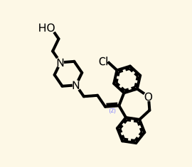 OCCN1CCN(CC/C=C2/c3ccccc3COc3ccc(Cl)cc32)CC1